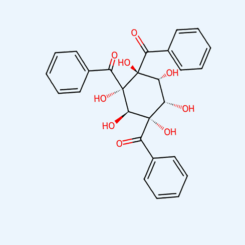 O=C(c1ccccc1)[C@@]1(O)[C@@H](O)[C@@](O)(C(=O)c2ccccc2)[C@](O)(C(=O)c2ccccc2)[C@H](O)[C@@H]1O